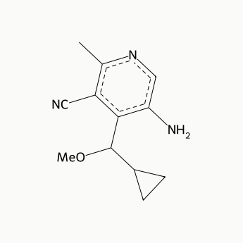 COC(c1c(N)cnc(C)c1C#N)C1CC1